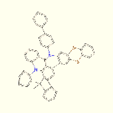 CC1(C)c2ccccc2-c2cc3c4c(c21)N(c1ccccc1)c1ccccc1B4N(c1ccc(-c2ccccc2)cc1)c1cc2c(cc1-3)Sc1ccccc1S2